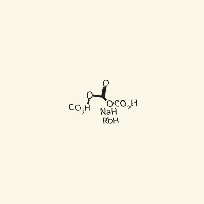 O=C(O)OC(=O)OC(=O)O.[NaH].[RbH]